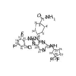 NC(=O)C1CCC(n2c(Nc3c(F)cc(F)cc3Cl)nc3cnc(N[C@H]4CCC(F)(F)C4)nc32)CC1